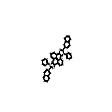 c1ccc(-n2c(-c3ccc4ccccc4c3)nc3c4cccc5c4c4c(cccc4c32)c2nc(-c3ccc4ccccc4c3)n(-c3ccccc3)c52)cc1